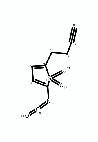 C#CCCC1=CC=C(N=C=O)S1(=O)=O